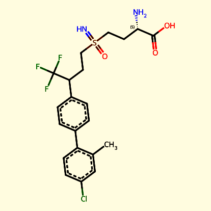 Cc1cc(Cl)ccc1-c1ccc(C(CCS(=N)(=O)CC[C@H](N)C(=O)O)C(F)(F)F)cc1